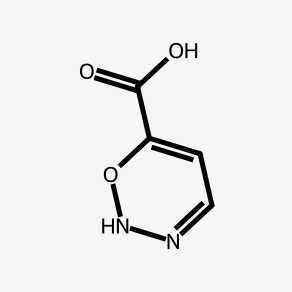 O=C(O)C1=CC=NNO1